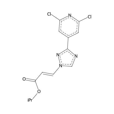 CC(C)OC(=O)C=Cn1cnc(-c2cc(Cl)nc(Cl)c2)n1